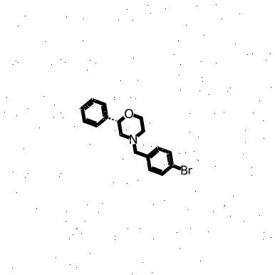 Brc1ccc(CN2CCO[C@@H](c3ccccc3)C2)cc1